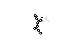 Cc1ccc2c3cc(-c4ccc5c(c4)c4ccccc4n5-c4ccc(-c5ccccc5)cc4)ccc3n(-c3ccc4c(c3)sc3ccccc34)c2c1